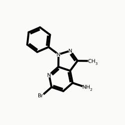 Cc1nn(-c2ccccc2)c2nc(Br)cc(N)c12